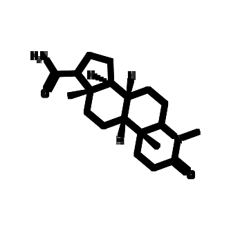 CN1C(=O)CC[C@@]2(C)C1CC[C@@H]1[C@H]2CC[C@]2(C)C(C(N)=O)CC[C@@H]12